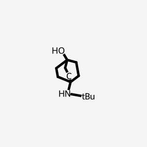 CC(C)(C)NC12CCC(O)(CC1)CC2